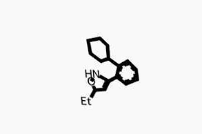 CCC1C=C(c2ccccc2C2CCCCC2)NO1